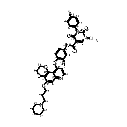 Cn1cc(C(=O)Nc2ccc(Oc3ccnc4cc(OCCCN5CCCCC5)c5c(c34)OCCO5)c(F)c2)c(=O)n(-c2ccc(F)cc2)c1=O